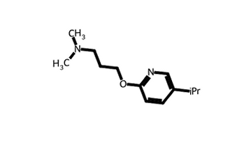 CC(C)c1ccc(OCCCN(C)C)nc1